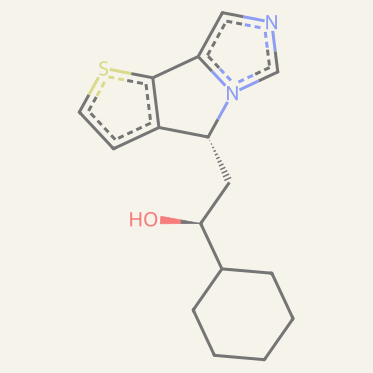 O[C@@H](C[C@@H]1c2ccsc2-c2cncn21)C1CCCCC1